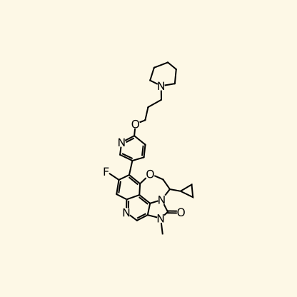 Cn1c(=O)n2c3c4c(c(-c5ccc(OCCCN6CCCCC6)nc5)c(F)cc4ncc31)OCC2C1CC1